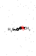 C=CC(=O)Oc1ccc(C2CCC(CCCC)CC2)cc1